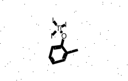 Cc1ccccc1[O][Ti]([I])([I])[I]